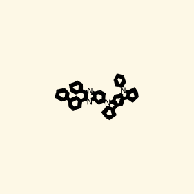 c1ccc(-c2cccc(-c3nc4cc(-n5c6ccccc6c6cc7c8ccccc8n(-c8ccccc8)c7cc65)ccc4nc3-c3ccccc3)c2)cc1